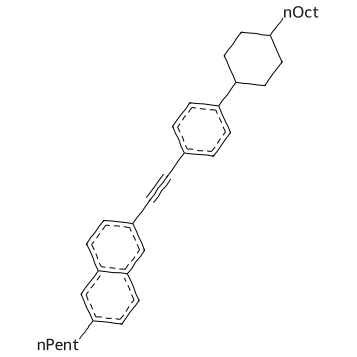 CCCCCCCCC1CCC(c2ccc(C#Cc3ccc4cc(CCCCC)ccc4c3)cc2)CC1